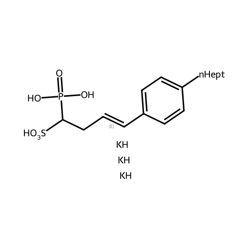 CCCCCCCc1ccc(/C=C/CC(P(=O)(O)O)S(=O)(=O)O)cc1.[KH].[KH].[KH]